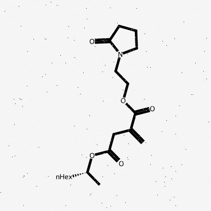 C=C(CC(=O)O[C@H](C)CCCCCC)C(=O)OCCN1CCCC1=O